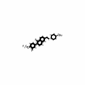 CCCC[C@H]1CC[C@H](CCc2ccc3c(F)c(-c4ccc(OC(F)(F)F)c(F)c4)ccc3c2)CC1